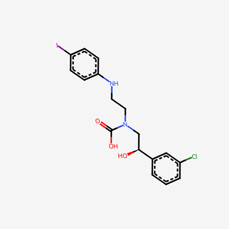 O=C(O)N(CCNc1ccc(I)cc1)C[C@H](O)c1cccc(Cl)c1